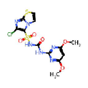 COc1cc(OC)nc(NC(=O)NS(=O)(=O)c2c(Cl)nc3sccn23)n1